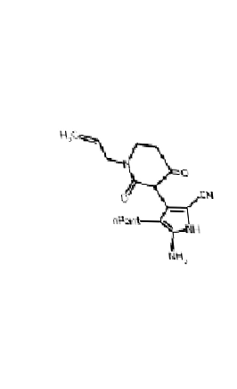 C=CCN1CCC(=O)C(c2c(C#N)[nH]c(N)c2CCCCC)C1=O